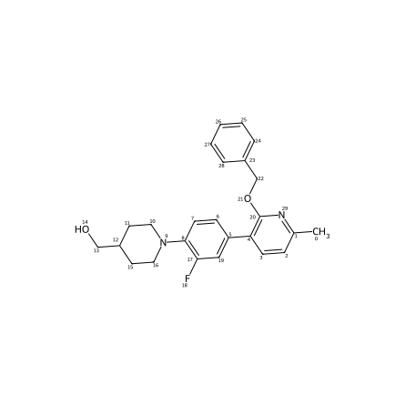 Cc1ccc(-c2ccc(N3CCC(CO)CC3)c(F)c2)c(OCc2ccccc2)n1